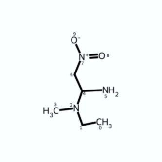 CCN(C)C(N)C[N+](=O)[O-]